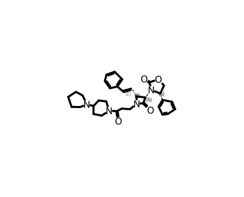 O=C(CCN1C(=O)[C@@H](N2C(=O)OC[C@@H]2c2ccccc2)[C@H]1/C=C/c1ccccc1)N1CCC(N2CCCCC2)CC1